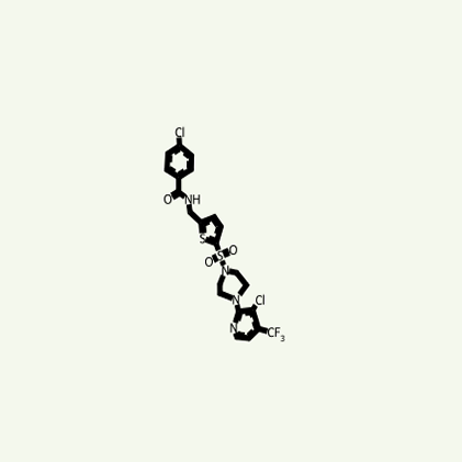 O=C(NCc1ccc(S(=O)(=O)N2CCN(c3nccc(C(F)(F)F)c3Cl)CC2)s1)c1ccc(Cl)cc1